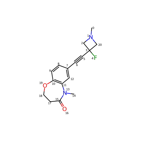 CN1CC(F)(C#Cc2ccc3c(c2)N(C)C(=O)CCO3)C1